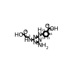 Nc1nc(NCCC(=O)O)nc(Nc2cccc(C(=O)O)c2)n1